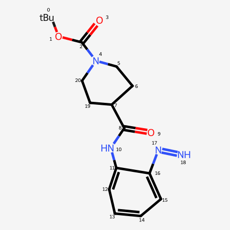 CC(C)(C)OC(=O)N1CCC(C(=O)Nc2ccccc2N=N)CC1